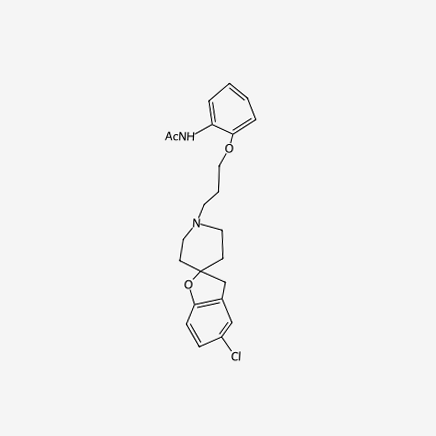 CC(=O)Nc1ccccc1OCCCN1CCC2(CC1)Cc1cc(Cl)ccc1O2